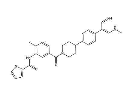 CN/C=C(\C=N)c1ccc(C2CCN(C(=O)c3ccc(C)c(NC(=O)c4cccs4)c3)CC2)cc1